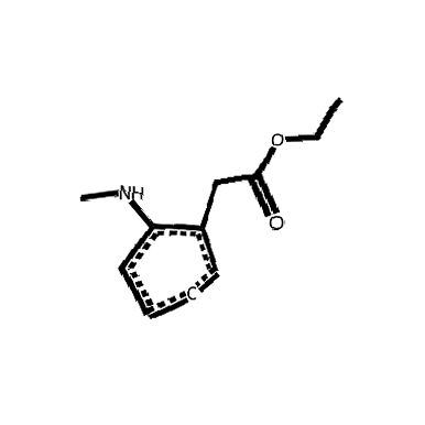 CCOC(=O)Cc1ccccc1NC